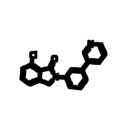 O=C1c2c(Cl)cccc2CN1c1cccc(-c2cccnc2)c1